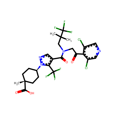 CC(C)(CN(CC(=O)c1c(Cl)cncc1Cl)C(=O)c1cnn([C@H]2CC[C@](C)(C(=O)O)CC2)c1C(F)(F)F)C(F)(F)F